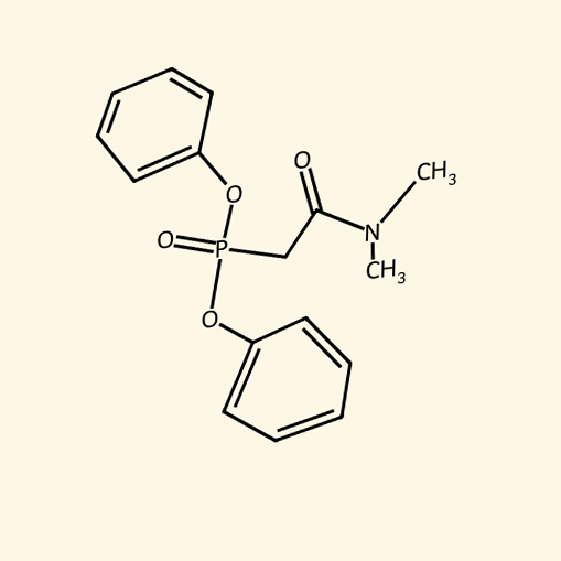 CN(C)C(=O)CP(=O)(Oc1ccccc1)Oc1ccccc1